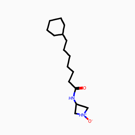 O=C(CCCCCCC1CCCCC1)NC1C[NH+]([O-])C1